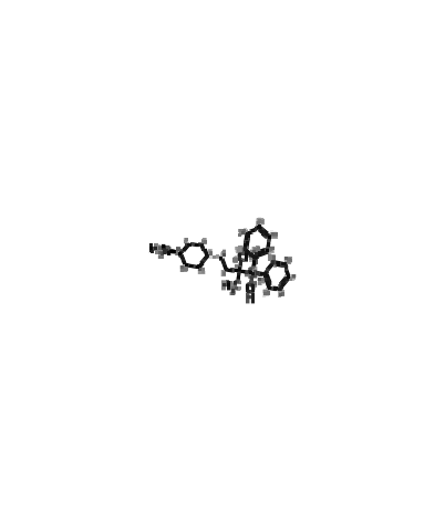 CC(C)(CC[C@H]1CC[C@H](N)CC1)[Si](O)(c1ccccc1)c1ccccc1